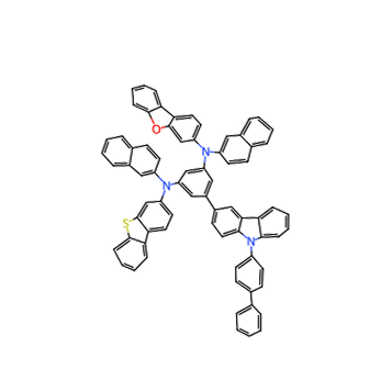 c1ccc(-c2ccc(-n3c4ccccc4c4cc(-c5cc(N(c6ccc7ccccc7c6)c6ccc7c(c6)oc6ccccc67)cc(N(c6ccc7ccccc7c6)c6ccc7c(c6)sc6ccccc67)c5)ccc43)cc2)cc1